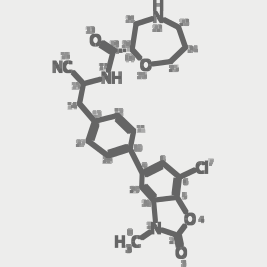 Cn1c(=O)oc2c(Cl)cc(-c3ccc(CC(C#N)NC(=O)[C@@H]4CNCCCO4)cc3)cc21